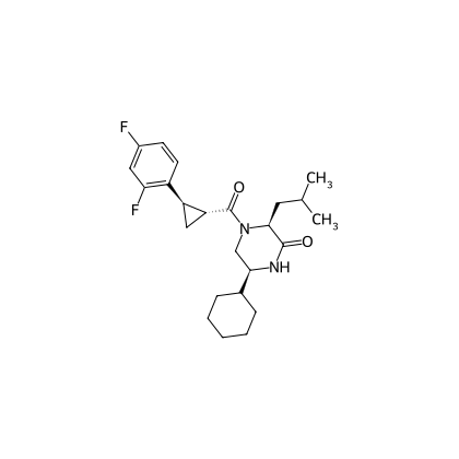 CC(C)C[C@H]1C(=O)N[C@@H](C2CCCCC2)CN1C(=O)[C@@H]1C[C@H]1c1ccc(F)cc1F